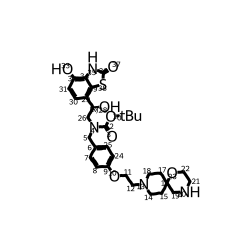 CC(C)(C)OC(=O)N(Cc1ccc(OCCN2CCC3(CC2)CNCCO3)cc1)C[C@H](O)c1ccc(O)c2[nH]c(=O)sc12